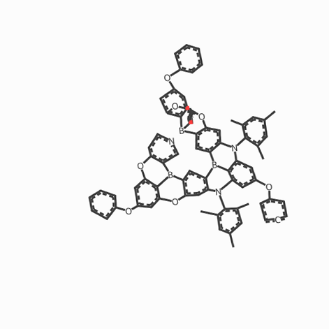 Cc1cc(C)c(N2c3cc4c(cc3B3c5cc6c(cc5N(c5c(C)cc(C)cc5C)c5cc(Oc7ccccc7)cc2c53)Oc2cc(Oc3ccccc3)cc3c2B6c2cnccc2O3)B2c3cnccc3Oc3cc(Oc5ccccc5)cc(c32)O4)c(C)c1